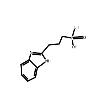 O=P(O)(O)CCCc1nc2ccccc2[nH]1